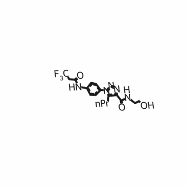 CCCc1c(C(=O)NCCO)nnn1-c1ccc(NC(=O)CC(F)(F)F)cc1